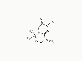 C=C1COC(C(F)(F)F)(C(F)(F)F)N(CC(=O)OC(C)(C)C)C1=O